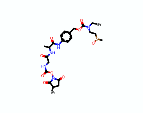 CC(C)CN(CC[S+](C)[O-])C(=O)OCc1ccc(NC(=O)C(C)NC(=O)CNC(=O)ON2C(=O)CC(C(C)C)C2=O)cc1